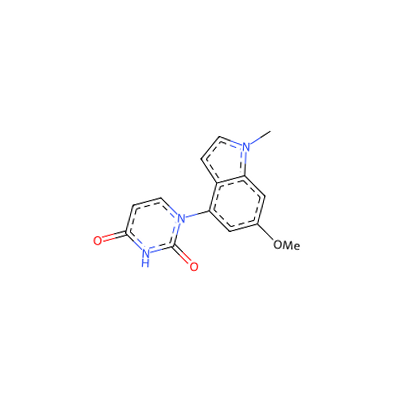 COc1cc(-n2ccc(=O)[nH]c2=O)c2ccn(C)c2c1